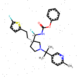 Cc1ccc(C(C)(C)N2CC[C@@](CCc3ccc(F)s3)([C@@H](F)NC(=O)Oc3ccccc3)C2)cn1